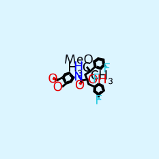 COc1ccc(F)cc1C(C)(C)CC(O)(Cc1cc(F)ccc1F)C(=O)Nc1ccc2c(c1)COC2=O